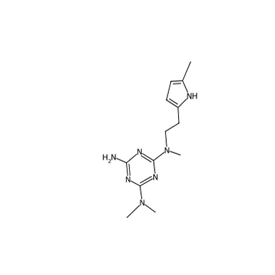 Cc1ccc(CCN(C)c2nc(N)nc(N(C)C)n2)[nH]1